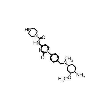 CO[C@H]1C[C@@H](N(C)Cc2ccc(-n3ccc(NC(=O)N4CCNCC4)nc3=O)cc2)CCC1N